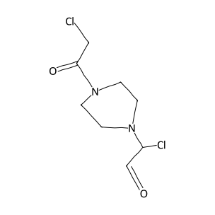 O=CC(Cl)N1CCN(C(=O)CCl)CC1